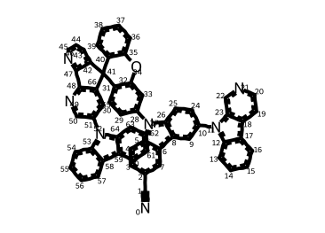 N#Cc1ccc2c(c1)c1cc(-n3c4ccccc4c4ccncc43)ccc1n2-c1ccc2c(c1)Oc1ccccc1C21c2cccnc2-c2ncc(-n3c4ccccc4c4ccccc43)cc21